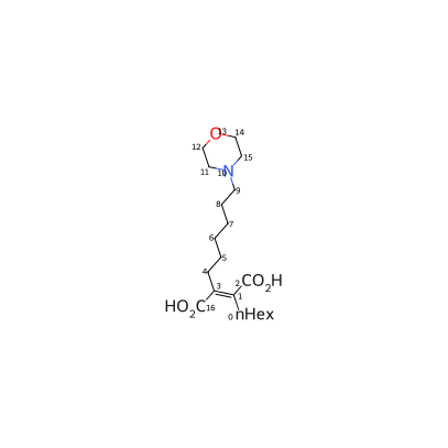 CCCCCCC(C(=O)O)=C(CCCCCCN1CCOCC1)C(=O)O